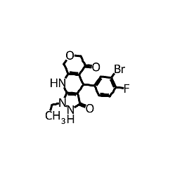 CCn1[nH]c(=O)c2c1NC1=C(C(=O)COC1)C2c1ccc(F)c(Br)c1